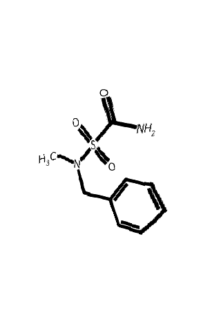 CN(Cc1ccccc1)S(=O)(=O)C(N)=O